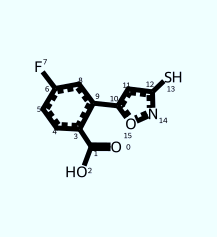 O=C(O)c1ccc(F)cc1-c1cc(S)no1